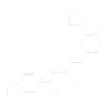 CC(NC(=O)CCc1ccnc(-n2ccnc2)n1)c1ccc2c(c1)OCO2